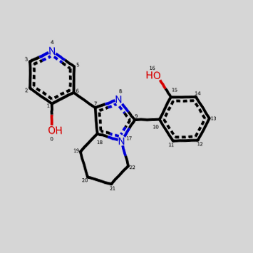 Oc1ccncc1-c1nc(-c2ccccc2O)n2c1CCCC2